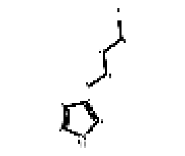 [Li][CH2]CCC.c1cc[nH]c1